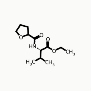 CCOC(=O)[C@@H](NC(=O)C1CCCO1)C(C)C